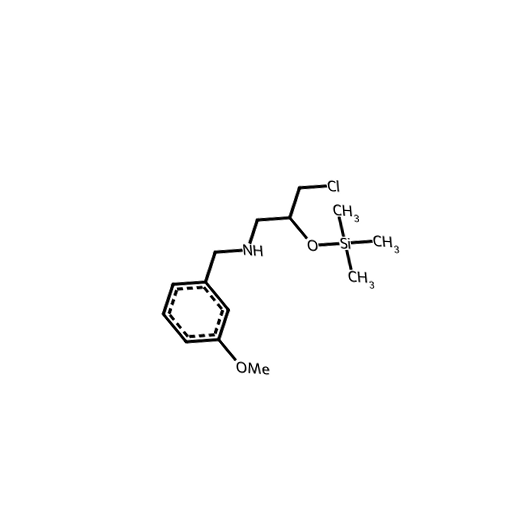 COc1cccc(CNCC(CCl)O[Si](C)(C)C)c1